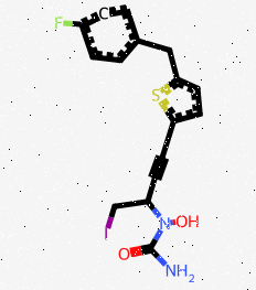 NC(=O)N(O)C(C#Cc1ccc(Cc2ccc(F)cc2)s1)CI